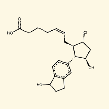 O=C(O)CCC/C=C\C[C@@H]1[C@@H](c2ccc3c(c2)CCC3O)[C@H](O)C[C@H]1Cl